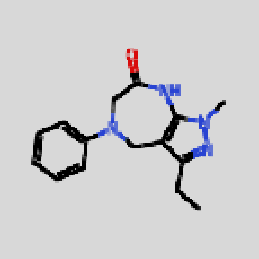 CCc1nn(C)c2c1CN(c1ccccc1)CC(=O)N2